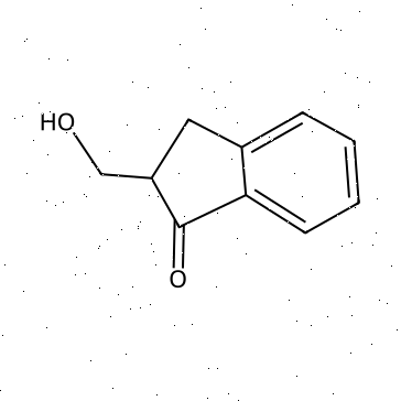 O=C1c2ccccc2CC1CO